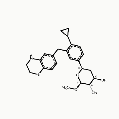 CO[C@H]1O[C@@H](c2ccc(C3CC3)c(Cc3ccc4c(c3)NCCS4)c2)C[C@@H](O)[C@@H]1O